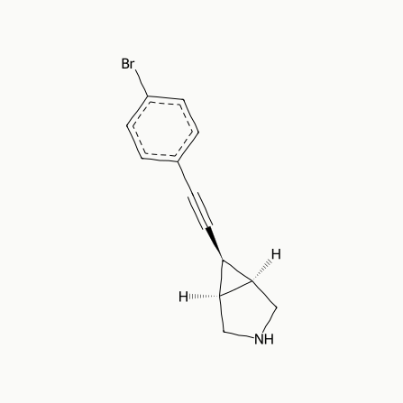 Brc1ccc(C#C[C@H]2[C@H]3CNC[C@@H]23)cc1